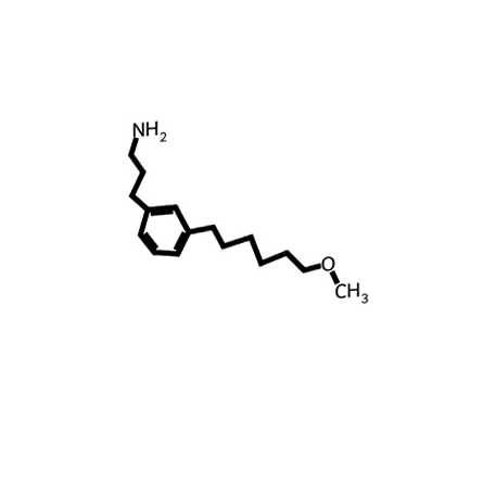 COCCCCCCc1cccc(CCCN)c1